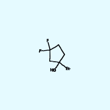 C[CH]C1(O)CCC(F)(F)C1